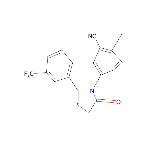 Cc1ccc(N2C(=O)CSC2c2cccc(C(F)(F)F)c2)cc1C#N